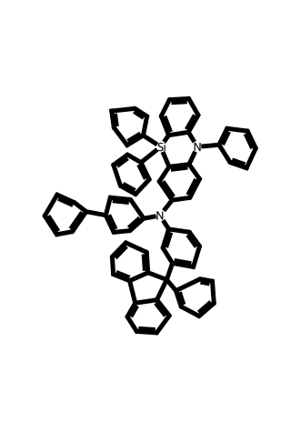 c1ccc(-c2ccc(N(c3cccc(C4(c5ccccc5)c5ccccc5-c5ccccc54)c3)c3ccc4c(c3)[Si](c3ccccc3)(c3ccccc3)c3ccccc3N4c3ccccc3)cc2)cc1